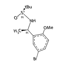 COc1ccc(Br)cc1[C@@H](C)N[S@@+]([O-])C(C)(C)C